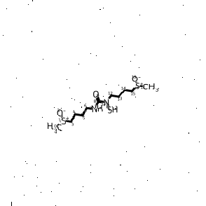 C[S+]([O-])CCCCNC(=O)N(S)CCCC[S+](C)[O-]